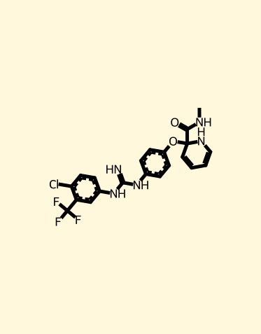 CNC(=O)C1(Oc2ccc(NC(=N)Nc3ccc(Cl)c(C(F)(F)F)c3)cc2)C=CC=CN1